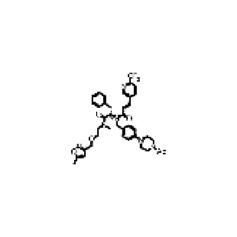 CC(=O)N1CCN(c2ccc(CN(C(=O)C=Cc3ccc(C(F)(F)F)nc3)[C@@H](Cc3ccccc3)C(=O)N(C)CCOCc3cc(C)on3)cc2)CC1